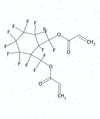 C=CC(=O)OC(F)(F)C1(F)C(F)(F)C(F)(F)C(F)(F)C(F)(F)C1(F)C(F)(F)OC(=O)C=C